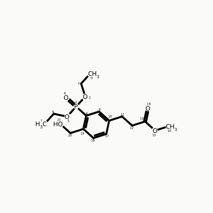 CCOP(=O)(OCC)c1cc(CCC(=O)OC)ccc1CO